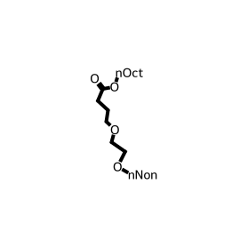 CCCCCCCCCOCCOCCCC(=O)OCCCCCCCC